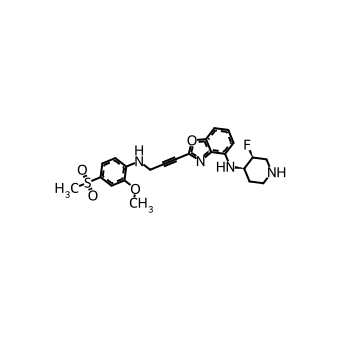 COc1cc(S(C)(=O)=O)ccc1NCC#Cc1nc2c(N[C@@H]3CCNC[C@@H]3F)cccc2o1